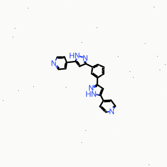 c1cc(-c2cc(-c3ccncc3)[nH]n2)cc(-c2cc(-c3ccncc3)[nH]n2)c1